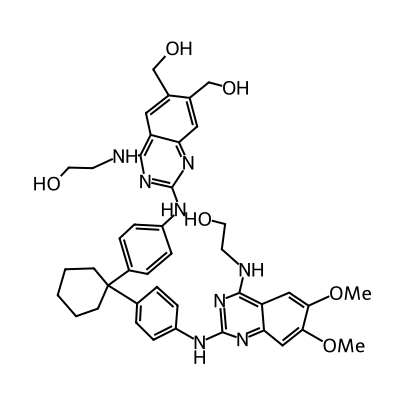 COc1cc2nc(Nc3ccc(C4(c5ccc(Nc6nc(NCCO)c7cc(CO)c(CO)cc7n6)cc5)CCCCC4)cc3)nc(NCCO)c2cc1OC